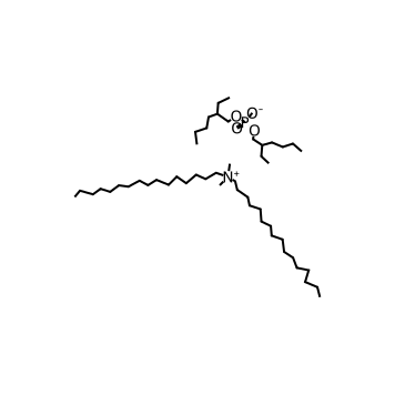 CCCCC(CC)COP(=O)([O-])OCC(CC)CCCC.CCCCCCCCCCCCCCCC[N+](C)(C)CCCCCCCCCCCCCCCC